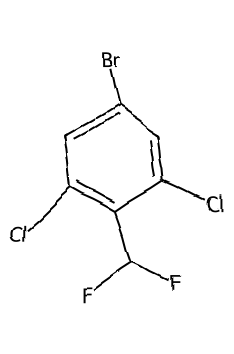 FC(F)c1c(Cl)cc(Br)cc1Cl